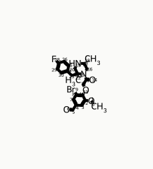 COc1cc(C=O)cc(Br)c1OCC(=O)N1C[C@@H](C)NC[C@]1(C)Cc1ccc(F)cc1